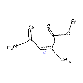 CCOC(=O)/C(C)=C\C(N)=O